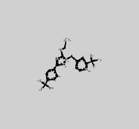 CCOc1nc(-c2ccc(C(F)(F)F)cc2)nn1Cc1ccnc(C(F)(F)F)c1